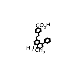 CC1(C)CC=C(c2ccccc2)c2cc(CCc3ccc(C(=O)O)cc3)ccc21